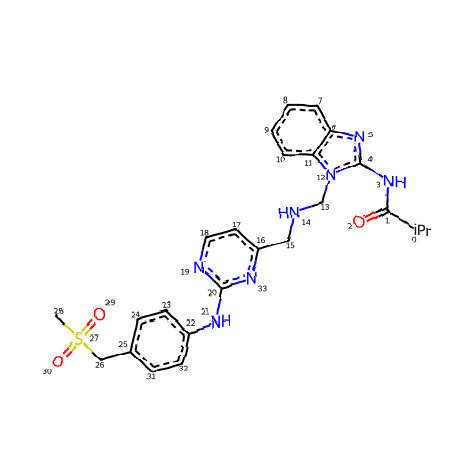 CC(C)C(=O)Nc1nc2ccccc2n1CNCc1ccnc(Nc2ccc(CS(C)(=O)=O)cc2)n1